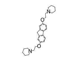 c1cc2c(cc1OCCN1CCCCC1)Cc1cc(OCCN3CCCCC3)ccc1-2